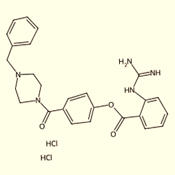 Cl.Cl.N=C(N)Nc1ccccc1C(=O)Oc1ccc(C(=O)N2CCN(Cc3ccccc3)CC2)cc1